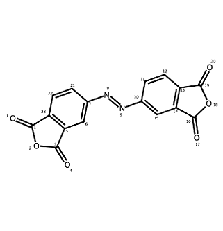 O=C1OC(=O)c2cc(N=Nc3ccc4c(c3)C(=O)OC4=O)ccc21